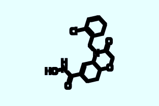 O=C(NO)C1=CC2C(CC1)OCC(=O)N2CC1=C(Cl)C=CCC1